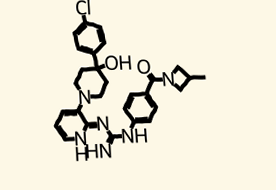 CC1CN(C(=O)c2ccc(NC(=N)/N=c3\[nH]cccc3N3CCC(O)(c4ccc(Cl)cc4)CC3)cc2)C1